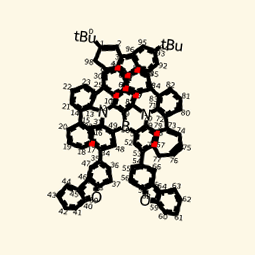 CC(C)(C)C1=Cc2c(n(-c3cc4c5c(c3)N(c3c(-c6ccccc6)cccc3-c3ccccc3)c3ccc(-c6ccc7oc8ccccc8c7c6)cc3B5c3cc(-c5ccc6oc7ccccc7c6c5)ccc3N4c3c(C4=CC#CCC=C4)cccc3-c3ccccc3)c3ccc(C(C)(C)C)cc23)CC1